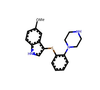 COc1ccc2[nH]cc(Sc3ccccc3N3CCNCC3)c2c1